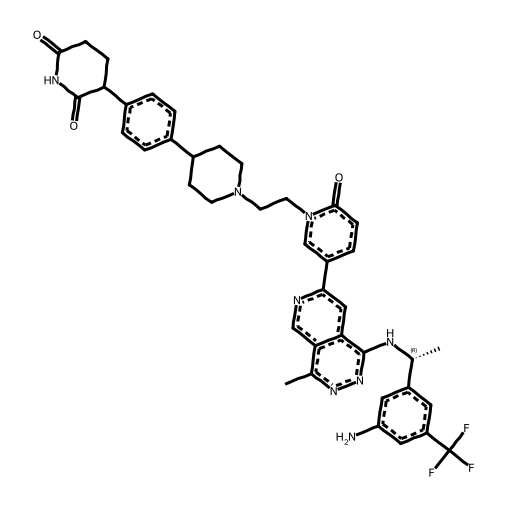 Cc1nnc(N[C@H](C)c2cc(N)cc(C(F)(F)F)c2)c2cc(-c3ccc(=O)n(CCN4CCC(c5ccc(C6CCC(=O)NC6=O)cc5)CC4)c3)ncc12